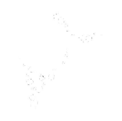 C=C(CN1CCOCC1)C(=O)Nc1cccc([C@@H]2c3cnn(-c4cccc(OCCCN5CCN(C(=O)CCCCCN6/C(=C/C=C/C=C/C7=[N+](C)c8ccc(S(=O)(=O)[O-])cc8C7(C)C)C(C)(C)c7cc(S(=O)(=O)O)ccc76)CC5)c4)c3N(CC)C(=O)[C@H]2NC(=O)c2cccc(C(F)(F)F)c2)c1